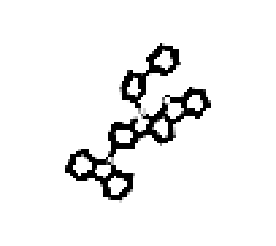 c1ccc(-c2cccc(-n3c4ccc(-n5c6ccccc6c6ccccc65)cc4c4ccc5c6ccccc6oc5c43)c2)cc1